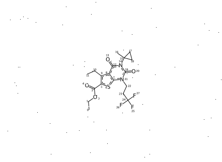 CCOC(=O)c1sc2c(c1CC)c(=O)n(C1(C)CC1)c(=O)n2CCC(F)(F)F